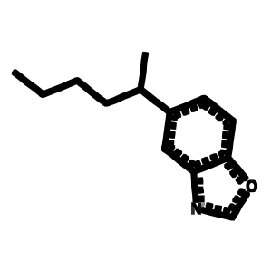 CCCCC(C)c1ccc2ocnc2c1